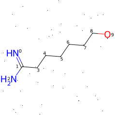 N=C(N)CCCCCC[O]